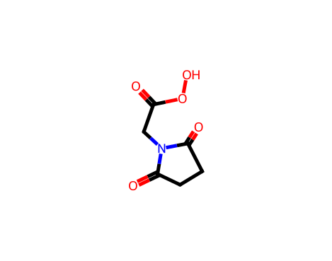 O=C(CN1C(=O)CCC1=O)OO